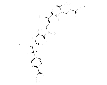 CNC(C(=O)NC(C(=O)N(C)C/C=C(\C)C(=O)NC(CCC(=O)OC)C(=O)OC)C(C)(C)C)C(C)(C)c1ccc(C(=O)OC(C)(C)C)cc1